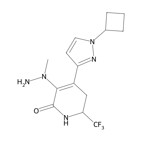 CN(N)C1=C(c2ccn(C3CCC3)n2)CC(C(F)(F)F)NC1=O